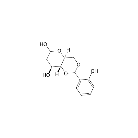 Oc1ccccc1C1OC[C@@H]2OC(O)C[C@H](O)[C@H]2O1